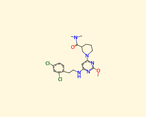 COc1nc(NCCc2ccc(Cl)cc2Cl)cc(N2CCCC(C(=O)N(C)C)C2)n1